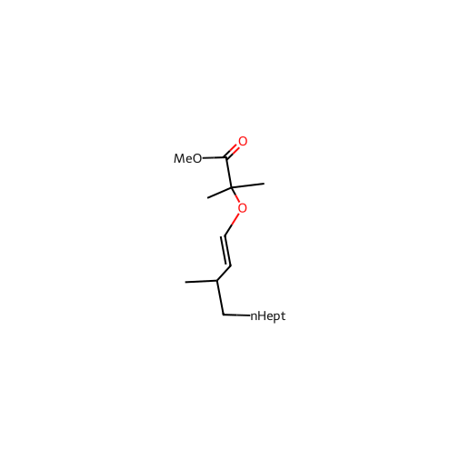 CCCCCCCCC(C)C=COC(C)(C)C(=O)OC